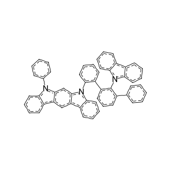 c1ccc(-c2cccc(-c3ccccc3-n3c4ccccc4c4cc5c6ccccc6n(-c6ccccc6)c5cc43)c2-n2c3ccccc3c3ccccc32)cc1